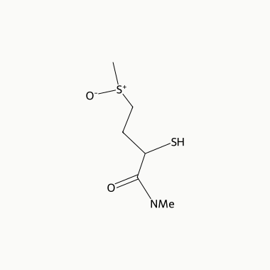 CNC(=O)C(S)CC[S+](C)[O-]